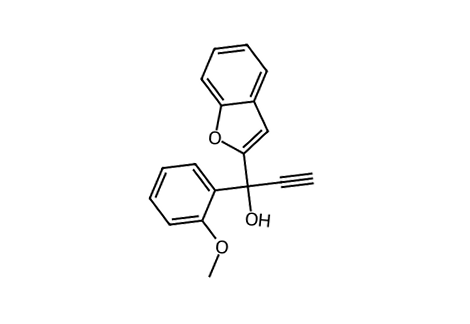 C#CC(O)(c1cc2ccccc2o1)c1ccccc1OC